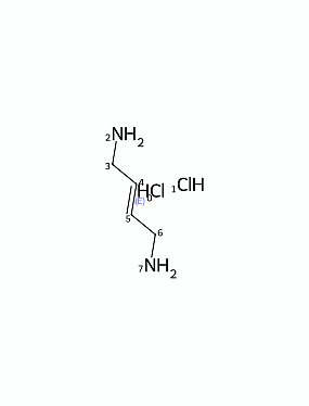 Cl.Cl.NC/C=C/CN